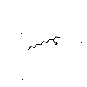 [CH2]CCCCCCCC(O)CC